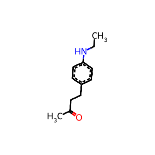 CCNc1ccc(CCC(C)=O)cc1